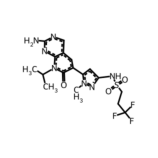 CC(C)n1c(=O)c(-c2cc(NS(=O)(=O)CCC(F)(F)F)nn2C)cc2cnc(N)nc21